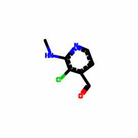 CNc1nccc(C=O)c1Cl